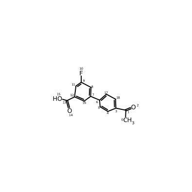 CC(=O)c1ccc(-c2cc(F)cc(C(=O)O)c2)cc1